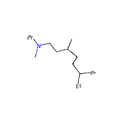 CCC(CCC(C)CCN(C)C(C)C)C(C)C